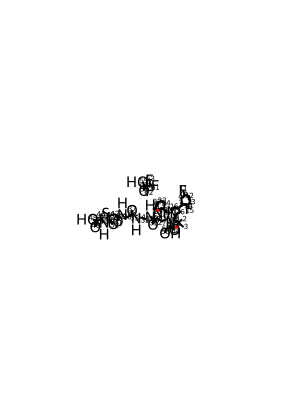 CC(C)(C)[C@H](c1cc(-c2cc(F)ccc2F)cn1Cc1ccccc1)N(CC[C@H](N)C(=O)NCCNC(=O)CNC(=O)CC1SC[C@@H](C(=O)O)NC1=O)C(=O)CO.O=C(O)C(F)(F)F